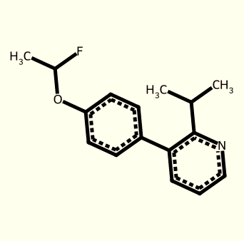 CC(F)Oc1ccc(-c2cccnc2C(C)C)cc1